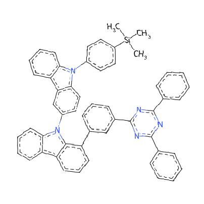 C[Si](C)(C)c1ccc(-n2c3ccccc3c3cc(-n4c5ccccc5c5cccc(-c6cccc(-c7nc(-c8ccccc8)nc(-c8ccccc8)n7)c6)c54)ccc32)cc1